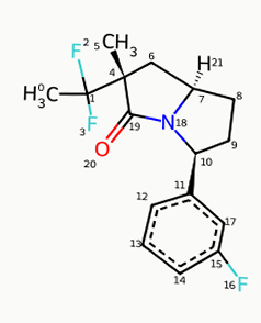 CC(F)(F)[C@]1(C)C[C@H]2CC[C@@H](c3cccc(F)c3)N2C1=O